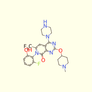 CN1CCC(Oc2nc(N3CCNCC3)c3cc(C(F)(F)F)n(-c4c(O)cccc4F)c(=O)c3n2)CC1